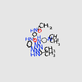 C=CC(=O)Nc1ccc(C(=O)Nc2cccc(Nc3nc(N[C@H]4CC[C@H](N(C)C)CC4)nc4c(C(C)C)cnn34)c2)cc1